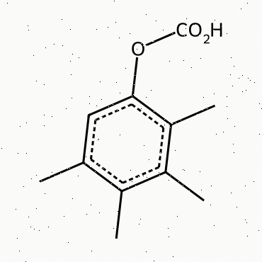 Cc1cc(OC(=O)O)c(C)c(C)c1C